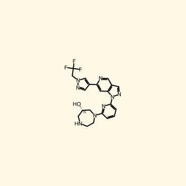 O[C@H]1CNCCN(c2cccc(-n3ncc4cnc(-c5cnn(CC(F)(F)F)c5)cc43)n2)C1